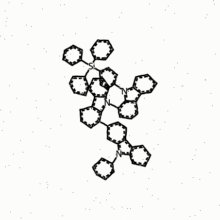 c1ccc(-n2c3ccccc3c3ccc(-c4cccc5c6ccccc6n(-c6cccc7c8ccccc8n(-c8ccc([Si](c9ccccc9)(c9ccccc9)c9ccccc9)cc8)c67)c45)cc32)cc1